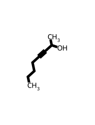 CCCCC#CC(C)O